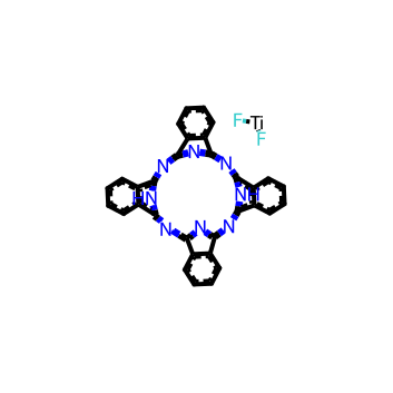 [F][Ti][F].c1ccc2c(c1)-c1nc-2nc2[nH]c(nc3nc(nc4[nH]c(n1)c1ccccc41)-c1ccccc1-3)c1ccccc21